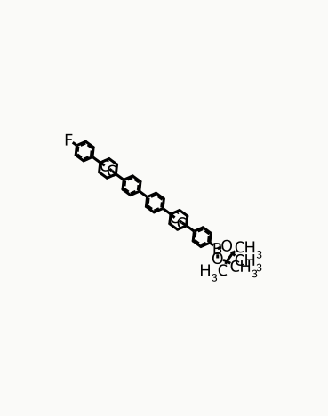 CC1(C)OB(c2ccc(C34CCC(c5ccc(-c6ccc(C78CCC(c9ccc(F)cc9)(CC7)CC8)cc6)cc5)(CC3)CC4)cc2)OC1(C)C